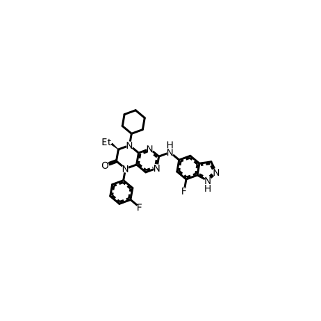 CC[C@@H]1C(=O)N(c2cccc(F)c2)c2cnc(Nc3cc(F)c4[nH]ncc4c3)nc2N1C1CCCCC1